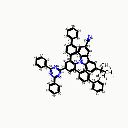 CC(C)(C)c1ccc2c(c1)c1cc(C#N)ccc1n2-c1c(-c2ccc(-c3ccccc3)cc2)cc(-c2nc(-c3ccccc3)nc(-c3ccccc3)n2)cc1-c1ccc(-c2ccccc2)cc1